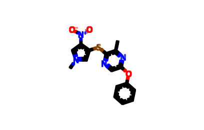 Cc1nc(Oc2ccccc2)cnc1Sc1cn(C)cc1[N+](=O)[O-]